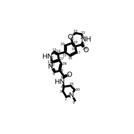 CN1CCC(NC(=O)c2cnc3[nH]cc(-c4ccc5c(c4)OCCNC5=O)c3c2)CC1